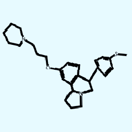 CSc1ccc(C2CN3CCCC3c3cc(OCCCN4CCCCC4)ccc32)cc1